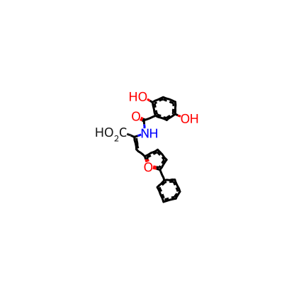 O=C(O)C(=Cc1ccc(-c2ccccc2)o1)NC(=O)c1cc(O)ccc1O